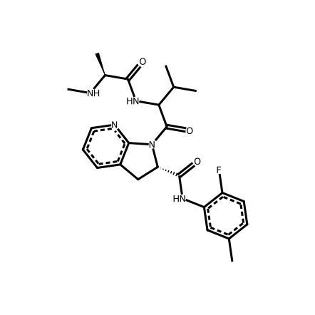 CN[C@@H](C)C(=O)NC(C(=O)N1c2ncccc2C[C@H]1C(=O)Nc1cc(C)ccc1F)C(C)C